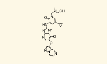 C[C@H](CO)Cn1cc(C2CC2)cc(Nc2nc3ncc(Oc4cnn5ccncc45)c(Cl)c3n2C)c1=O